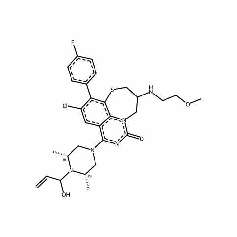 C=CC(O)N1[C@H](C)CN(c2nc(=O)n3c4c(c(-c5ccc(F)cc5)c(Cl)cc24)SCC(NCCOC)C3)C[C@@H]1C